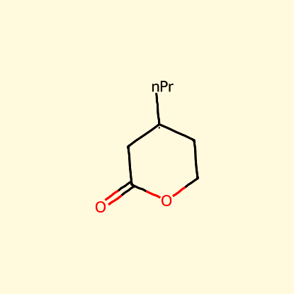 CCC[C]1CCOC(=O)C1